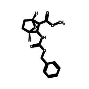 COC(=O)C1C(NC(=O)OCc2ccccc2)[C@@H]2CC[C@H]1O2